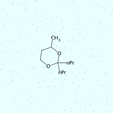 CCCC1(CCC)OCCC(C)O1